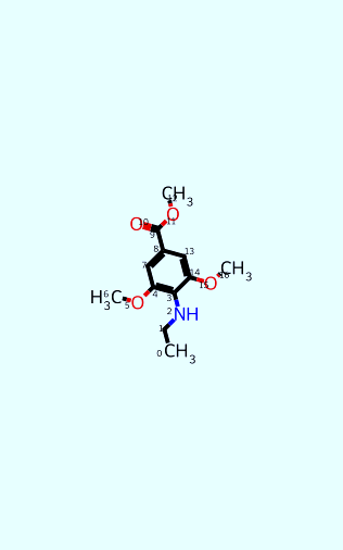 CCNc1c(OC)cc(C(=O)OC)cc1OC